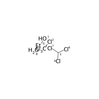 CCO.ClC(Cl)(Cl)Cl.ClC(Cl)Cl.O